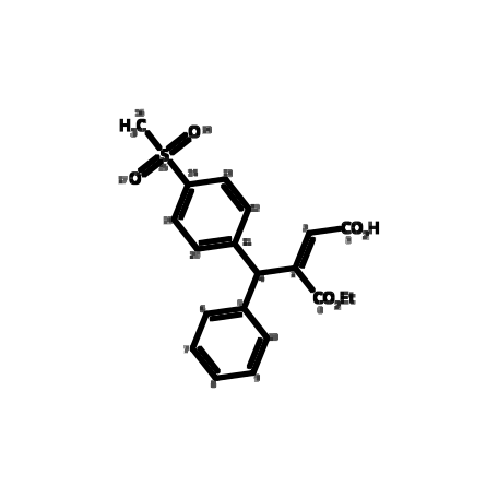 CCOC(=O)/C(=C\C(=O)O)C(c1ccccc1)c1ccc(S(C)(=O)=O)cc1